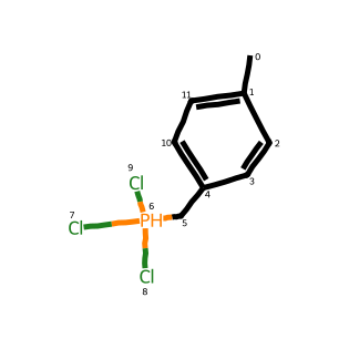 Cc1ccc(C[PH](Cl)(Cl)Cl)cc1